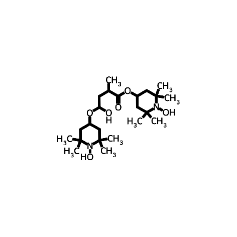 CC(CC(O)OC1CC(C)(C)N(O)C(C)(C)C1)C(=O)OC1CC(C)(C)N(O)C(C)(C)C1